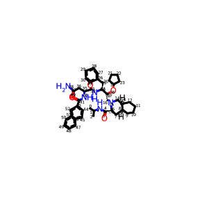 CC(C)NC(=O)[C@@H]1C[C@@H]2CCCC[C@@H]2CN1C[C@@H](OC1CCCC1)[C@H](Cc1ccccc1)NC(=O)C(CC(N)=O)NC(=O)c1ccc2ccccc2c1